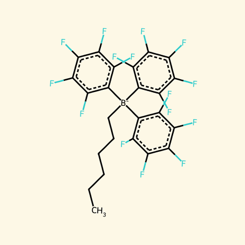 CCCCCC[B-](c1c(F)c(F)c(F)c(F)c1F)(c1c(F)c(F)c(F)c(F)c1F)c1c(F)c(F)c(F)c(F)c1F